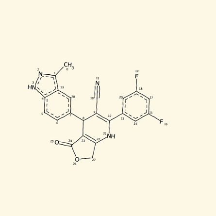 Cc1n[nH]c2ccc(C3C(C#N)=C(c4cc(F)cc(F)c4)NC4=C3C(=O)OC4)cc12